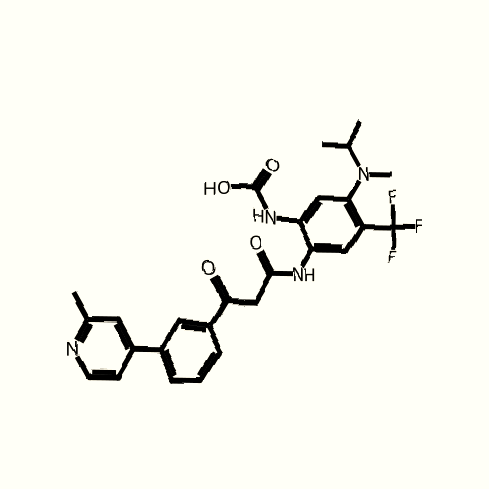 Cc1cc(-c2cccc(C(=O)CC(=O)Nc3cc(C(F)(F)F)c(N(C)C(C)C)cc3NC(=O)O)c2)ccn1